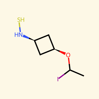 CC(I)O[C@H]1C[C@@H](NS)C1